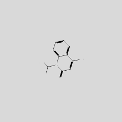 CC(Cl)n1c(=O)cc(O)c2ccccc21